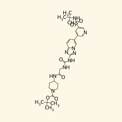 CC(C)(C)NS(=O)(=O)c1cncc(-c2ccc3nc(NC(=O)NCC(=O)NC4CCN(C(=O)OC(C)(C)C)CC4)nn3c2)c1